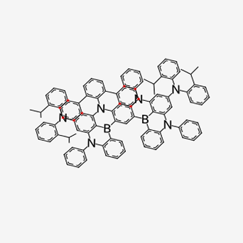 CC(C)c1ccccc1N(c1cc2c3c(c1)N(c1ccccc1)c1cc4c(cc1B3c1ccccc1N2c1ccccc1)B1c2ccccc2N(c2ccccc2)c2cc(N(c3ccccc3C(C)C)c3ccccc3C(C)C)cc(c21)N4c1c(-c2ccccc2)cccc1-c1ccccc1)c1ccccc1C(C)C